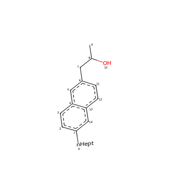 CCCCCCCc1ccc2cc(CC(C)O)ccc2c1